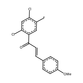 COc1ccc(C=CC(=O)c2cc(F)c(Cl)cc2Cl)cc1